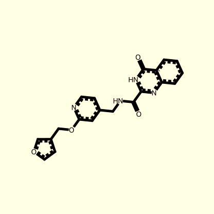 O=C(NCc1ccnc(OCc2ccoc2)c1)c1nc2ccccc2c(=O)[nH]1